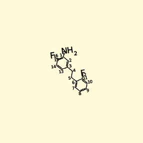 Nc1cc(CCc2ccccc2F)ccc1F